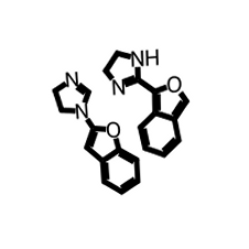 C1=NCCN1c1cc2ccccc2o1.c1ccc2c(C3=NCCN3)occ2c1